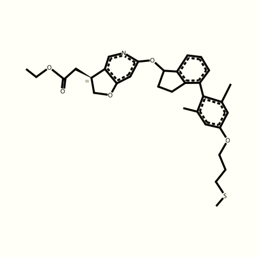 CCOC(=O)C[C@@H]1COc2cc(OC3CCc4c(-c5c(C)cc(OCCCSC)cc5C)cccc43)ncc21